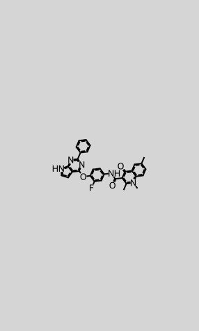 Cc1ccc2c(c1)c(=O)c(C(=O)Nc1ccc(Oc3nc(-c4ccccc4)nc4[nH]ccc34)c(F)c1)c(C)n2C